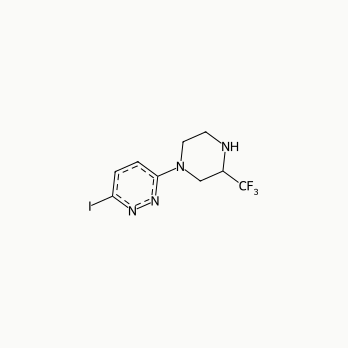 FC(F)(F)C1CN(c2ccc(I)nn2)CCN1